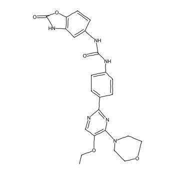 CCOc1cnc(-c2ccc(NC(=O)Nc3ccc4oc(=O)[nH]c4c3)cc2)nc1N1CCOCC1